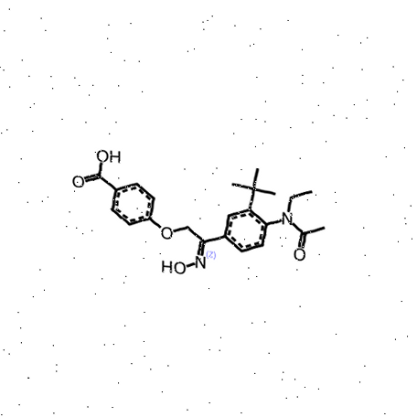 CCN(C(C)=O)c1ccc(/C(COc2ccc(C(=O)O)cc2)=N/O)cc1C(C)(C)C